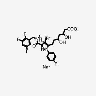 CC(C)c1c(C(=O)N(C)Cc2cc(F)cc(F)c2F)nn(-c2ccc(F)cc2)c1CCC(O)CC(O)CC(=O)[O-].[Na+]